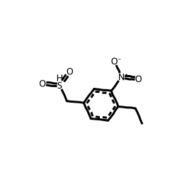 CCc1ccc(C[SH](=O)=O)cc1[N+](=O)[O-]